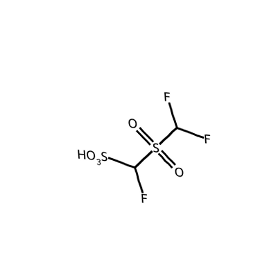 O=S(=O)(O)C(F)S(=O)(=O)C(F)F